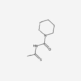 CC(=S)NC(=O)N1CCCCC1